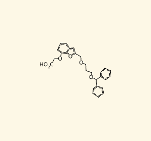 O=C(O)COc1cccc2cc(COCCCOC(c3ccccc3)c3ccccc3)oc12